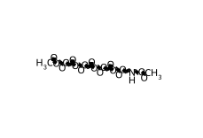 CC(=O)OCCNCCOC(=O)COC(=O)COC(=O)COC(=O)COC(=O)COC(=O)COC(=O)COC(C)=O